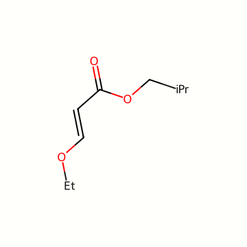 CCOC=CC(=O)OCC(C)C